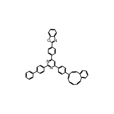 c1ccc(-c2ccc(-c3nc(-c4ccc(-c5cccccc6ccccc6cc5)cc4)cc(-c4ccc(-c5nc6ccccc6o5)cc4)n3)cc2)cc1